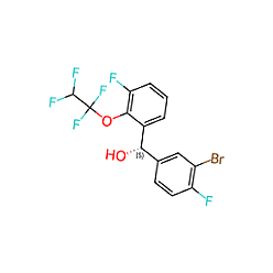 O[C@@H](c1ccc(F)c(Br)c1)c1cccc(F)c1OC(F)(F)C(F)F